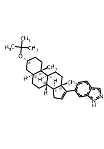 CC(C)(C)O[C@@H]1CC[C@@]2(C)[C@@H](CC[C@@H]3[C@@H]2CC[C@]2(C)C(c4ccc5cn[nH]c5c4)=CC[C@@H]32)C1